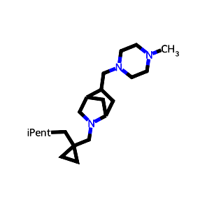 CCCC(C)CC1(CN2CC3CC2CC3CN2CCN(C)CC2)CC1